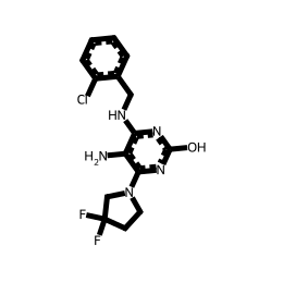 Nc1c(NCc2ccccc2Cl)nc(O)nc1N1CCC(F)(F)C1